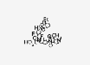 CCOc1ccccc1S(=O)(=O)Nc1cc(F)c(C(=O)N[C@@H](Cc2ccc(-n3c(=O)c4ccncc4n(C)c3=O)cc2)C(=O)O)c(F)c1